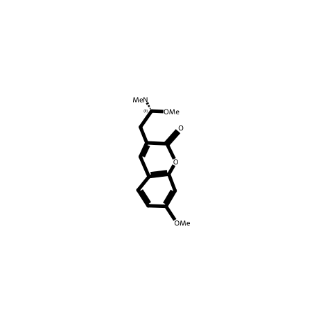 CN[C@@H](Cc1cc2ccc(OC)cc2oc1=O)OC